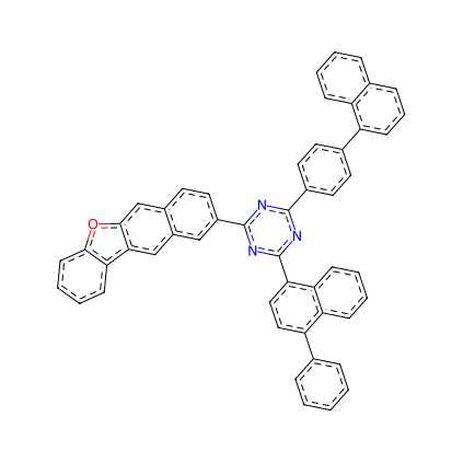 c1ccc(-c2ccc(-c3nc(-c4ccc(-c5cccc6ccccc56)cc4)nc(-c4ccc5cc6oc7ccccc7c6cc5c4)n3)c3ccccc23)cc1